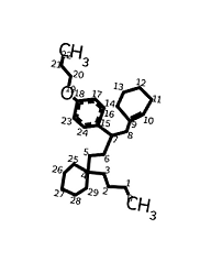 CCCCC1(CCC(CC2=CCCCC2)c2ccc(OCCC)cc2)CCCCC1